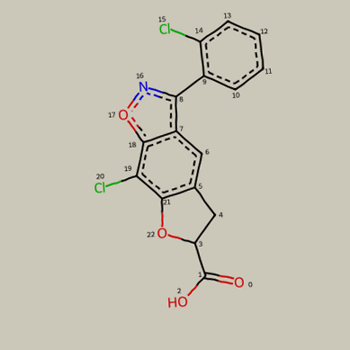 O=C(O)C1Cc2cc3c(-c4ccccc4Cl)noc3c(Cl)c2O1